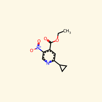 CCOC(=O)c1cc(C2CC2)ncc1[N+](=O)[O-]